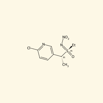 CC[S@](=O)(=N[N+](=O)[O-])[C@H](C)c1ccc(Cl)nc1